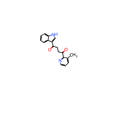 Cc1cccnc1C(=O)CCC(=O)c1c[nH]c2ccccc12